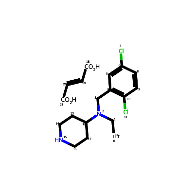 CC(C)CN(Cc1cc(Cl)ccc1Cl)C1CCNCC1.O=C(O)C=CC(=O)O